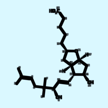 CC(C)=CCC(C)(C)[C@H](O)C=C[C@@H]1[C@H]2C[C@@H](CCCCC(=O)O)O[C@H]2C[C@H]1O